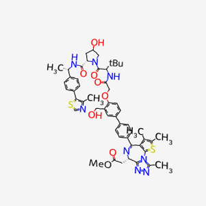 COC(=O)C[C@@H]1N=C(c2ccc(-c3ccc(OCC(=O)NC(C(=O)N4C[C@H](O)C[C@H]4C(=O)N[C@@H](C)c4ccc(-c5scnc5C)cc4)C(C)(C)C)c(CO)c3)cc2)c2c(sc(C)c2C)-n2c(C)nnc21